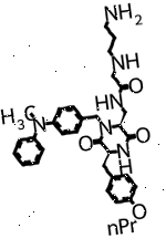 CCCOc1ccc(C[C@@H]2NC(=O)[C@H](CNC(=O)CNCCCN)N(Cc3ccc(N(C)c4ccccc4)cc3)C2=O)cc1